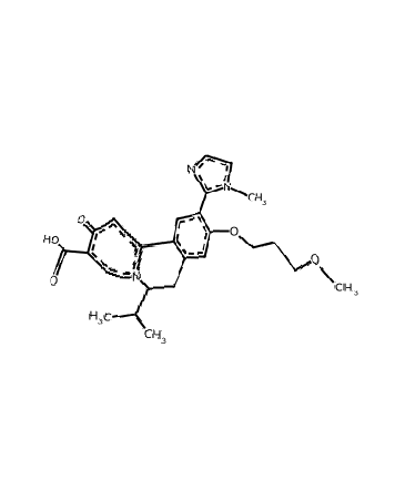 COCCCOc1cc2c(cc1-c1nccn1C)-c1cc(=O)c(C(=O)O)cn1C(C(C)C)C2